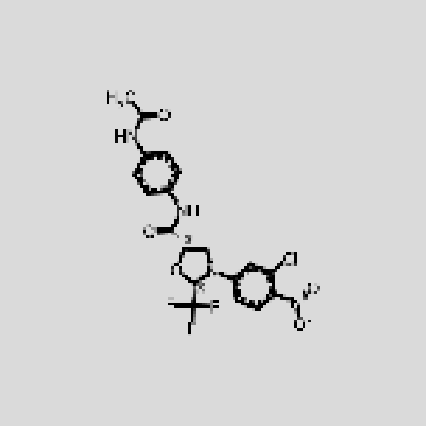 CC(=O)Nc1ccc(NC(=O)[C@@H]2CN(c3ccc([N+](=O)[O-])c(Cl)c3)[C@@H](C(F)(F)F)O2)cc1